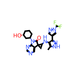 Cc1[nH]nc(-c2cnn(C(F)F)c2)c1NC1CC12C(=O)N([C@@H]1CCC[C@@H](O)C1)c1ncncc12